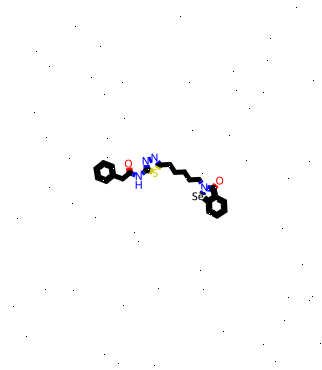 O=C(Cc1ccccc1)Nc1nnc(CCCCCn2[se]c3ccccc3c2=O)s1